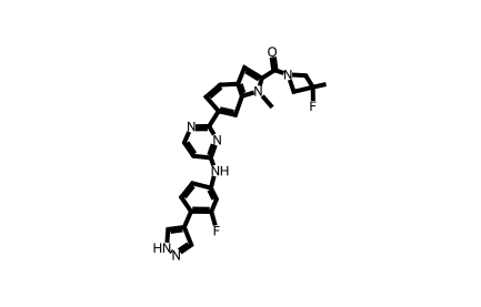 Cn1c(C(=O)N2CC(C)(F)C2)cc2ccc(-c3nccc(Nc4ccc(-c5cn[nH]c5)c(F)c4)n3)cc21